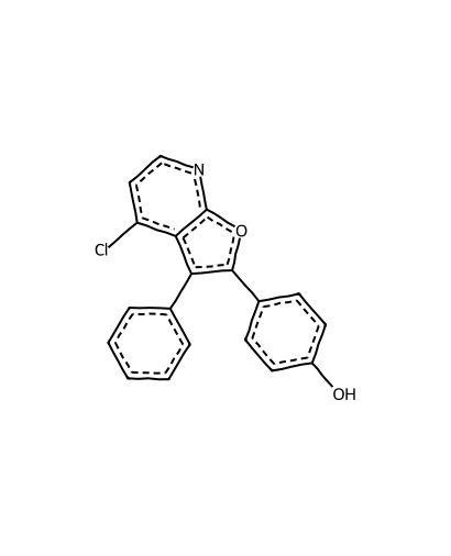 Oc1ccc(-c2oc3nccc(Cl)c3c2-c2ccccc2)cc1